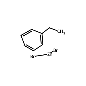 CCc1cc[c]cc1.[Br][Zn][Br]